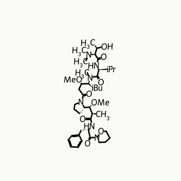 CC[C@H](C)[C@@H]([C@@H](CC(=O)N1CCC[C@H]1[C@H](OC)[C@@H](C)C(=O)N[C@@H](Cc1ccccc1)C(=O)N1CCCCO1)OC)N(C)C(=O)[C@@H](NC(=O)[C@H]([C@@H](C)O)N(C)C)C(C)C